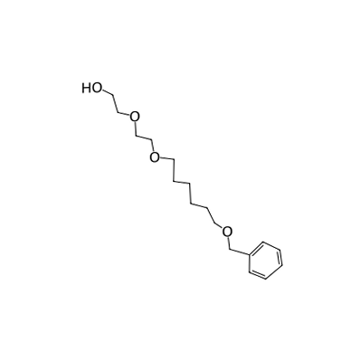 OCCOCCOCCCCCCOCc1ccccc1